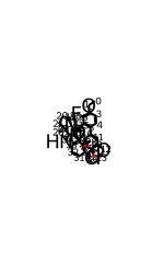 COc1ccc(-c2ccc3c(c2)OCO3)c(C(=O)N2CCC[C@@]2(C)c2nc3c(C)c(Cl)ccc3[nH]2)c1F